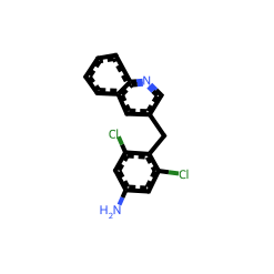 Nc1cc(Cl)c(Cc2cnc3ccccc3c2)c(Cl)c1